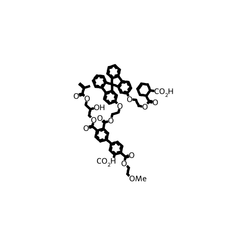 C=C(C)C(=O)OCC(O)COC(=O)c1ccc(-c2ccc(C(=O)OCCOC)c(C(=O)O)c2)cc1C(=O)OCCOc1ccc2c(c1)C1(c3ccccc3-2)c2ccccc2-c2ccc(OCCOC(=O)C3CC=CCC3C(=O)O)cc21